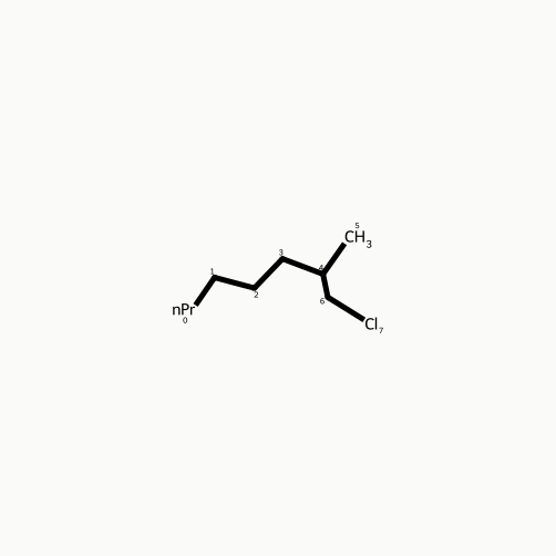 CCCCCCC(C)CCl